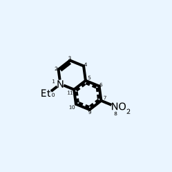 CCN1C=CCc2cc([N+](=O)[O-])ccc21